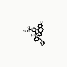 CC(C)(C)OC(=O)N1CCN(C2c3ccc(Cl)cc3CCc3cccnc32)C(C(=O)Nc2cccc(Cn3ccnc3)c2)C1